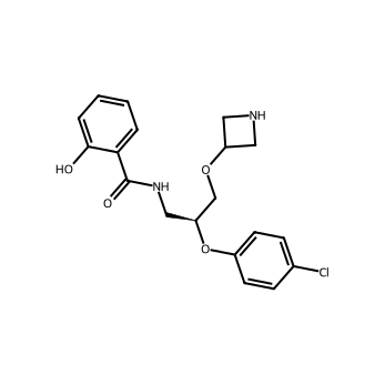 O=C(NC[C@@H](COC1CNC1)Oc1ccc(Cl)cc1)c1ccccc1O